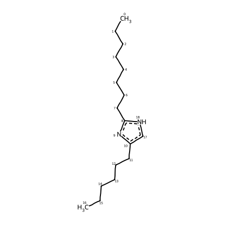 CCCCCCCCc1nc(CCCCCC)c[nH]1